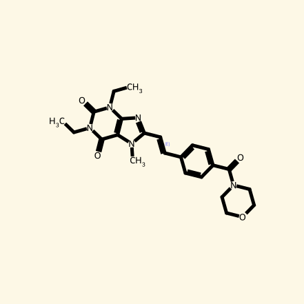 CCn1c(=O)c2c(nc(/C=C/c3ccc(C(=O)N4CCOCC4)cc3)n2C)n(CC)c1=O